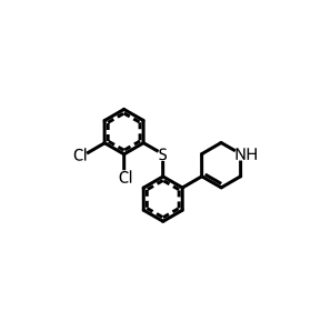 Clc1cccc(Sc2ccccc2C2=CCNCC2)c1Cl